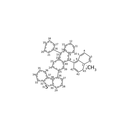 C[C@@]12C=CC=CC1=C(c1c3ccccc3c(-c3ccccc3)c3ccc(-c4cccc5sc6ccccc6c45)cc13)C=CC2